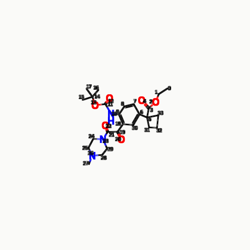 CCOC(=O)C1(c2ccc(NC(=O)OC(C)(C)C)c(C(=O)C(=O)N3CCN(C)CC3)c2)CCC1